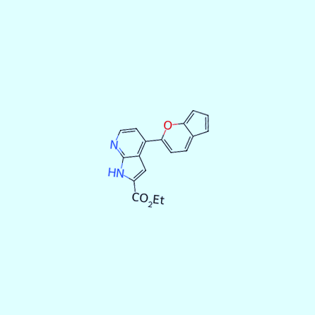 CCOC(=O)c1cc2c(-c3ccc4cccc-4o3)ccnc2[nH]1